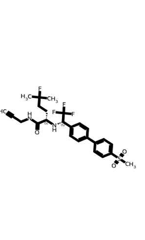 C#CCNC(=O)[C@H](CCC(C)(C)F)N[C@@H](c1ccc(-c2ccc(S(C)(=O)=O)cc2)cc1)C(F)(F)F